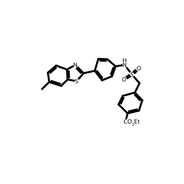 CCOC(=O)c1ccc(CS(=O)(=O)Nc2ccc(-c3nc4ccc(C)cc4s3)cc2)cc1